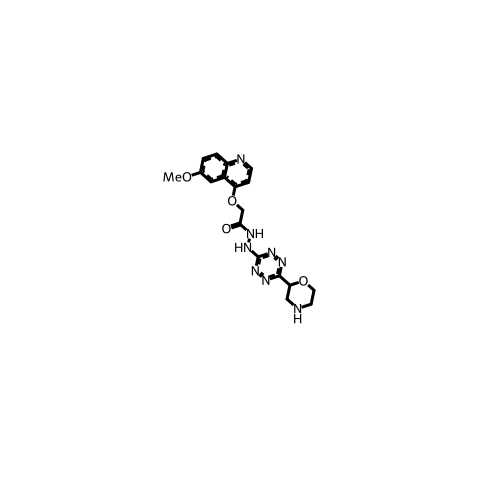 COc1ccc2nccc(OCC(=O)NNc3nnc(C4CNCCO4)nn3)c2c1